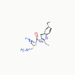 CCc1ccc2nc(CC)c(NC(=O)[C@H]3C[C@H](CN)CN3)cc2c1